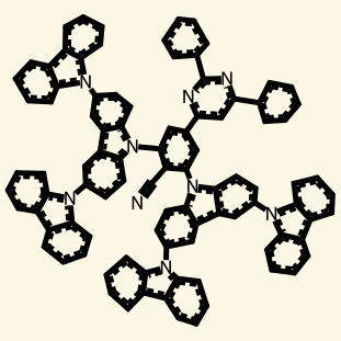 N#Cc1c(-n2c3ccc(-n4c5ccccc5c5ccccc54)cc3c3cc(-n4c5ccccc5c5ccccc54)ccc32)cc(-c2cc(-c3ccccc3)nc(-c3ccccc3)n2)cc1-n1c2ccc(-n3c4ccccc4c4ccccc43)cc2c2cc(-n3c4ccccc4c4ccccc43)ccc21